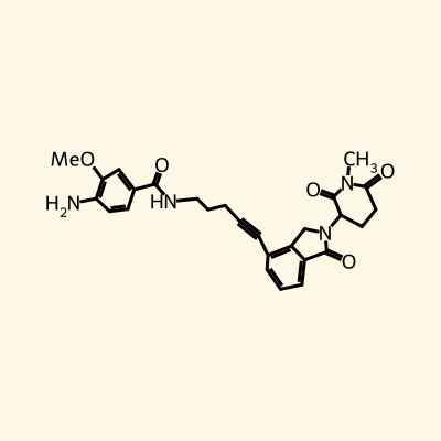 COc1cc(C(=O)NCCCC#Cc2cccc3c2CN(C2CCC(=O)N(C)C2=O)C3=O)ccc1N